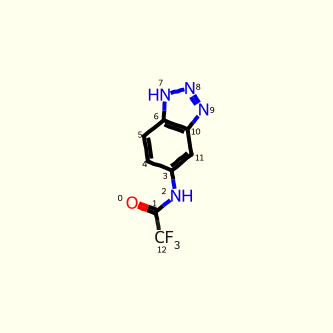 O=C(Nc1ccc2[nH]nnc2c1)C(F)(F)F